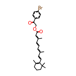 CC1=C(/C=C/C(C)=C/C=C/C(C)=C/C(=O)OCC(=O)c2ccc(Br)cc2)C(C)(C)CCC1